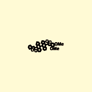 COc1cc(OC)c2cc(-c3c4ccccc4c(-c4c5ccccc5c(-c5cc6ccccc6oc5=O)c5ccccc45)c4ccccc34)c(=O)oc2c1